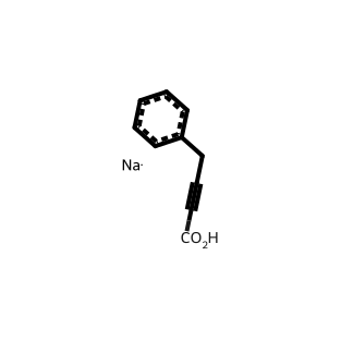 O=C(O)C#CCc1ccccc1.[Na]